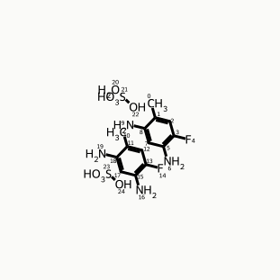 Cc1cc(F)c(N)cc1N.Cc1cc(F)c(N)cc1N.O.O=S(=O)(O)O.O=S(=O)(O)O